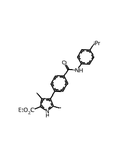 CCOC(=O)c1[nH]c(C)c(-c2ccc(C(=O)Nc3ccc(C(C)C)cc3)cc2)c1C